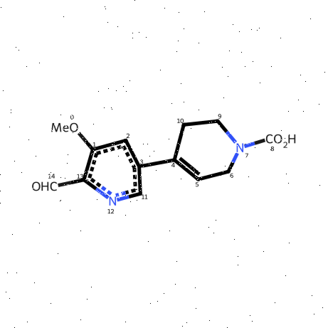 COc1cc(C2=CCN(C(=O)O)CC2)cnc1C=O